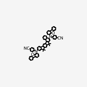 CC1(C)c2cc(N(c3ccc(C#N)cc3)c3cccc4c3oc3ccccc34)ccc2-c2cc3c(cc21)C(C)(C)c1cc(N(c2ccc(C#N)cc2)c2cccc4c2oc2ccccc24)c2ccccc2c1-3